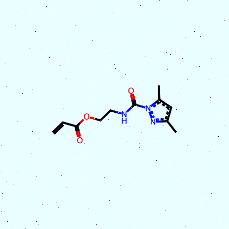 C=CC(=O)OCCNC(=O)n1nc(C)cc1C